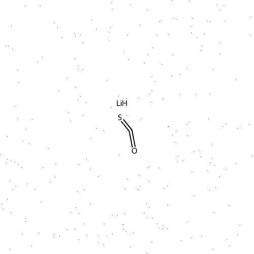 O=C=S.[LiH]